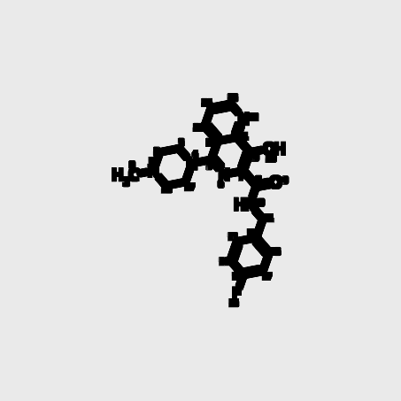 CN1CCN(c2nc(C(=O)NCc3ccc(F)cc3)c(O)c3ncccc23)CC1